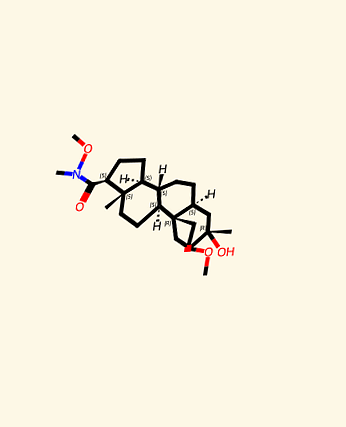 COCC[C@]12CC[C@@](C)(O)C[C@@H]1CC[C@H]1[C@@H]3CC[C@H](C(=O)N(C)OC)[C@@]3(C)CC[C@@H]12